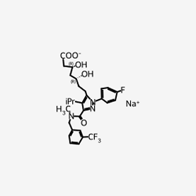 CC(C)c1c(C(=O)N(C)Cc2cccc(C(F)(F)F)c2)nn(-c2ccc(F)cc2)c1CC[C@@H](O)C[C@@H](O)CC(=O)[O-].[Na+]